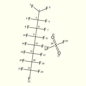 FC(F)C(F)(F)C(F)(F)C(F)(F)C(F)(F)C(F)(F)C(F)(F)C(F)(F)F.O=S(=O)(F)F